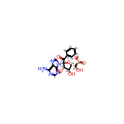 Nc1ncnc2c1ncn2[C@]1(C(=O)c2ccccc2)O[C@H](C(O)=S(=O)=O)[C@@H](O)[C@H]1O